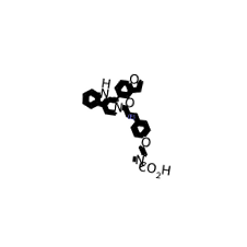 CN(CCOc1ccc(/C=C/C(=O)N2CCc3c([nH]c4ccccc34)[C@H]2c2ccc3c(c2)CCO3)cc1)C(=O)O